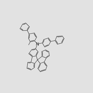 Cc1cc(-c2ccccc2)ccc1N(c1ccc(-c2ccccc2)cc1)c1ccc2c(c1)C1(c3ccccc3-c3ccccc31)c1ccccc1-2